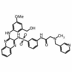 COc1cc(CO)cc(Nc2nc3ccccc3nc2NS(=O)(=O)c2cccc(NC(=O)CN(C)Cc3cccnc3)c2)c1